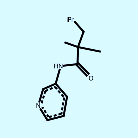 CC(C)CC(C)(C)C(=O)Nc1cccnc1